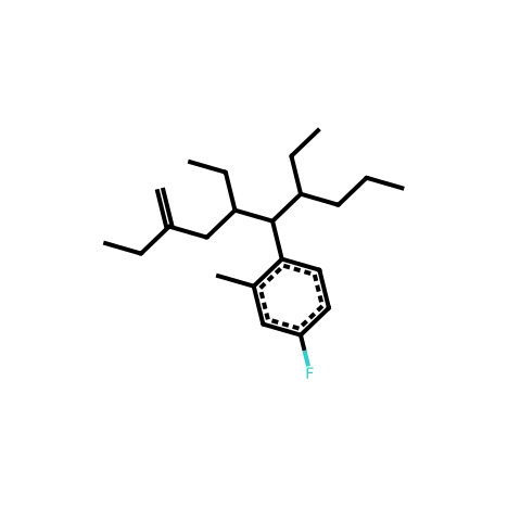 C=C(CC)CC(CC)C(c1ccc(F)cc1C)C(CC)CCC